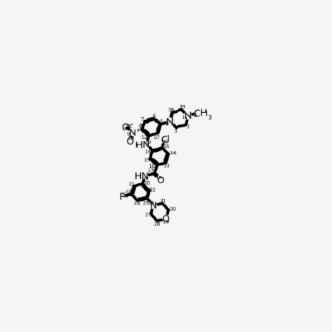 CN1CCN(c2ccc([N+](=O)[O-])c(Nc3cc(C(=O)Nc4cc(F)cc(N5CCOCC5)c4)ccc3Cl)c2)CC1